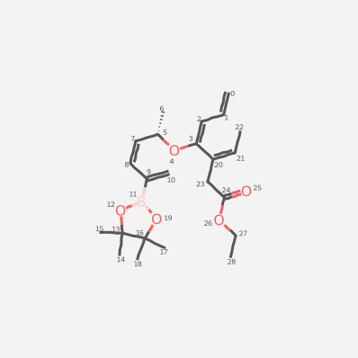 C=C/C=C(O[C@@H](C)/C=C\C(=C)B1OC(C)(C)C(C)(C)O1)\C(=C/C)CC(=O)OCC